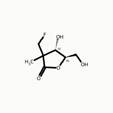 CC1(CF)C(=O)O[C@H](CO)[C@H]1O